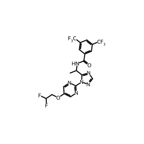 CC(NC(=O)c1cc(C(F)(F)F)cc(C(F)(F)F)c1)c1ncnn1-c1ncc(OCC(F)F)cn1